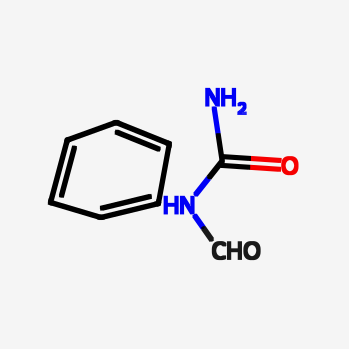 NC(=O)NC=O.c1ccccc1